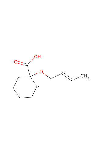 CC=CCOC1(C(=O)O)[CH]CCCC1